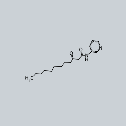 CCCCCCCCCC(=O)CC(=O)Nc1cccnc1